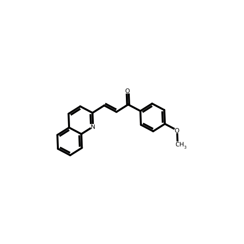 COc1ccc(C(=O)C=Cc2ccc3ccccc3n2)cc1